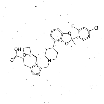 CC1(c2ccc(Cl)cc2F)Oc2cccc(C3CCN(Cc4ncc(CCC(=O)O)n4C[C@@H]4CCO4)CC3)c2O1